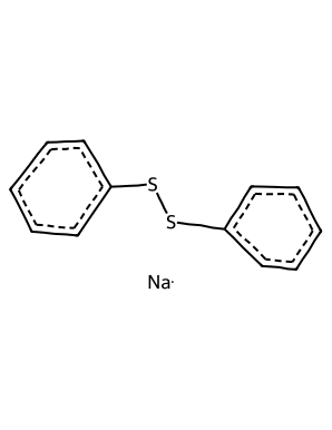 [Na].c1ccc(SSc2ccccc2)cc1